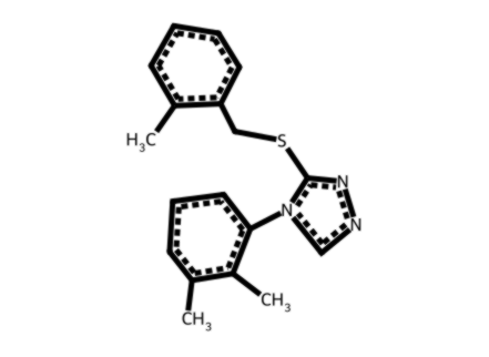 Cc1ccccc1CSc1nncn1-c1cccc(C)c1C